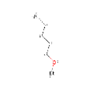 C[CH]CCCCCOCC